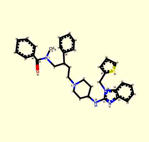 CN(CC(CCN1CCC(Nc2nc3ccccc3n2Cc2cccs2)CC1)c1ccccc1)C(=O)c1ccccc1